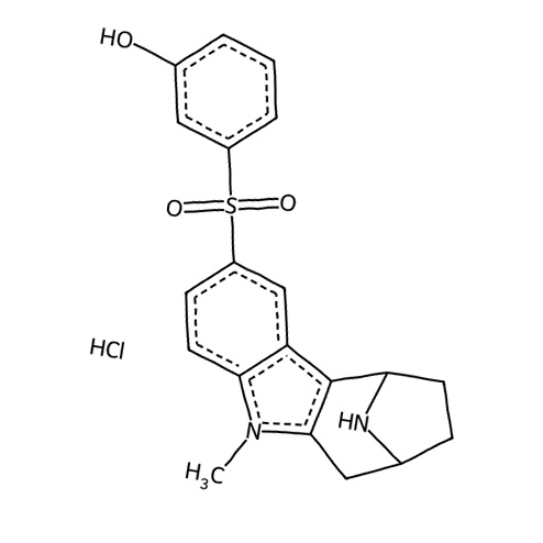 Cl.Cn1c2c(c3cc(S(=O)(=O)c4cccc(O)c4)ccc31)C1CCC(C2)N1